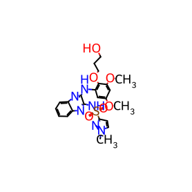 COc1cc(Nc2nc3ccccc3nc2NS(=O)(=O)c2ccn(C)n2)c(OCCCO)c(OC)c1